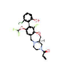 C=CC(=O)N1CCN2Cc3cc(OC(F)F)c(-c4c(O)cccc4Cl)c(F)c3OC[C@H]2C1